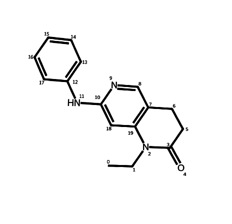 CCN1C(=O)CCc2cnc(Nc3ccccc3)cc21